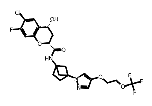 O=C(NC12CCC(n3cc(OCCOC(F)(F)F)cn3)(C1)C2)[C@H]1C[C@@H](O)c2cc(Cl)c(F)cc2O1